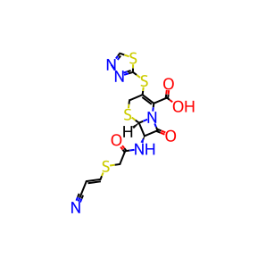 N#CC=CSCC(=O)N[C@@H]1C(=O)N2C(C(=O)O)=C(Sc3nncs3)CS[C@@H]12